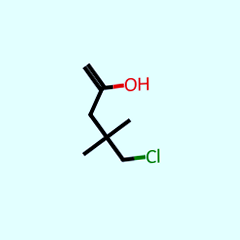 C=C(O)CC(C)(C)CCl